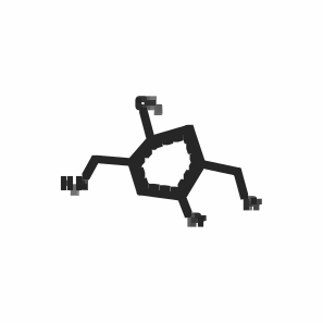 Cc1cc(CC(C)C)c(C(C)C)cc1CN